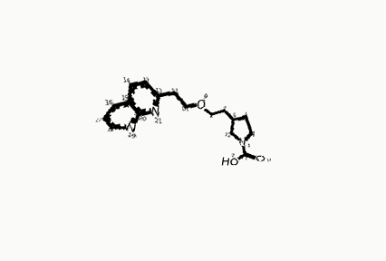 O=C(O)N1CCC(CCOCCc2ccc3cccnc3n2)C1